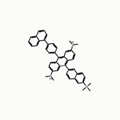 C[SiH](C)c1ccc2c(-c3ccc4cc([Si](C)(C)C)ccc4c3)c3cc([SiH](C)C)ccc3c(-c3ccc(-c4cccc5ccccc45)cc3)c2c1